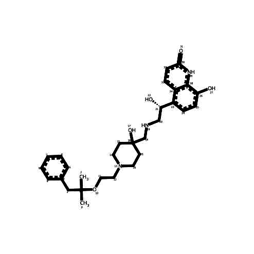 CC(C)(Cc1ccccc1)OCCN1CCC(O)(CNC[C@H](O)c2ccc(O)c3[nH]c(=O)ccc23)CC1